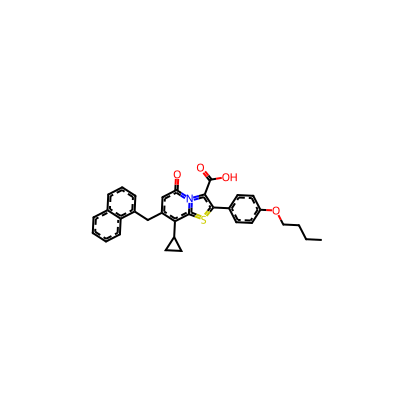 CCCCOc1ccc(-c2sc3c(C4CC4)c(Cc4cccc5ccccc45)cc(=O)n3c2C(=O)O)cc1